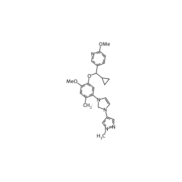 [CH2]c1cc(OC)c(OC(c2ccc(OC)nc2)C2CC2)cc1N1C=CN(c2cnn(C)c2)C1